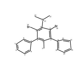 Cc1c(-c2ccccc2)c(Br)c(N(C)C)c(Br)c1-c1ccccc1